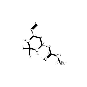 C=C[C@@H]1C[C@H](CC(=O)OCCCC)OC(C)(C)O1